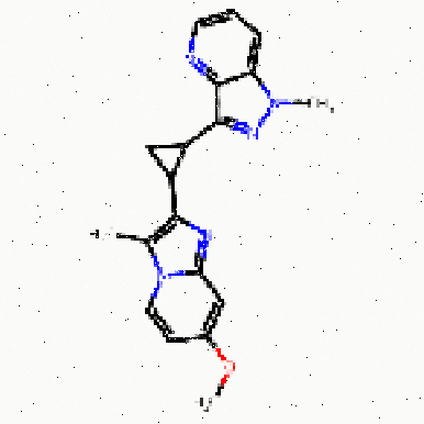 COc1ccn2c(C)c(C3CC3c3nn(C)c4cccnc34)nc2c1